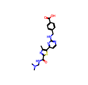 Cc1nc(C(=O)NCN(C)C)sc1-c1ccnc(NCc2ccc(C(=O)O)cc2)n1